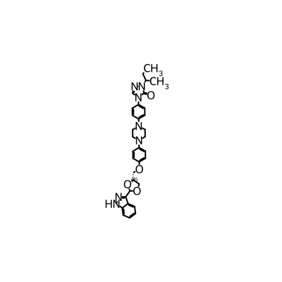 CCC(C)n1ncn(-c2ccc(N3CCN(c4ccc(OC[C@@H]5COC(c6n[nH]c7ccccc67)O5)cc4)CC3)cc2)c1=O